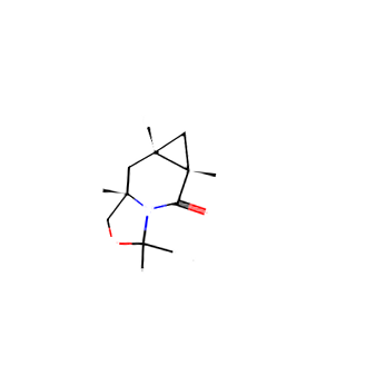 CC1(C)OC[C@@H]2C[C@@H]3C[C@@H]3C(=O)N21